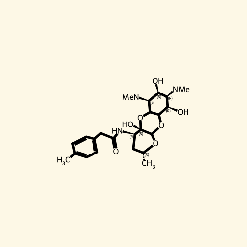 CN[C@@H]1[C@H](O)[C@H](NC)C2O[C@]3(O)C(OC2[C@@H]1O)O[C@H](C)C[C@H]3NC(=O)Cc1ccc(C)cc1